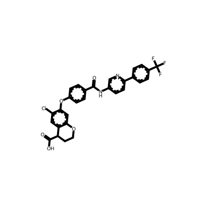 O=C(Nc1ccc(-c2ccc(C(F)(F)F)cc2)nc1)c1ccc(Oc2cc3c(cc2Cl)C(C(=O)O)CCO3)cc1